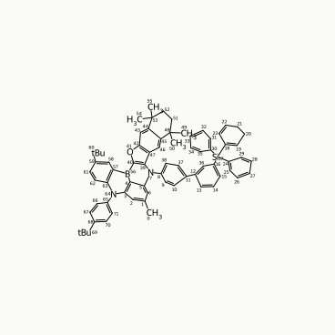 Cc1cc2c3c(c1)N(c1ccc(-c4cccc([Si](C5=CCCC=C5)(c5ccccc5)c5ccccc5)c4)cc1)c1c(oc4cc5c(cc14)C(C)(C)CCC5(C)C)B3c1cc(C(C)(C)C)ccc1N2c1ccc(C(C)(C)C)cc1